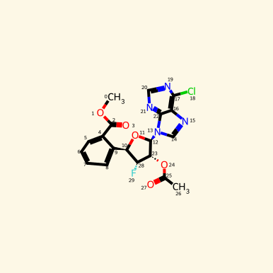 COC(=O)c1ccccc1[C@H]1O[C@@H](n2cnc3c(Cl)ncnc32)[C@H](OC(C)=O)[C@@H]1F